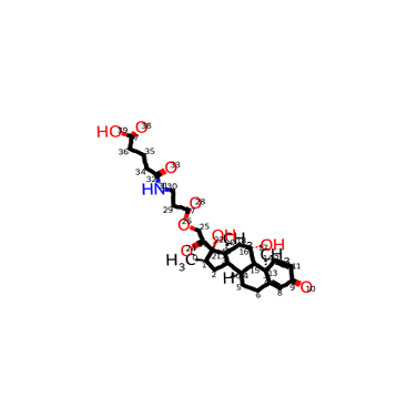 C[C@@H]1CC2[C@@H]3CCC4=CC(=O)C=C[C@]4(C)C3[C@@H](O)C[C@]2(C)[C@@]1(O)C(=O)COC(=O)CCNC(=O)CCCC(=O)O